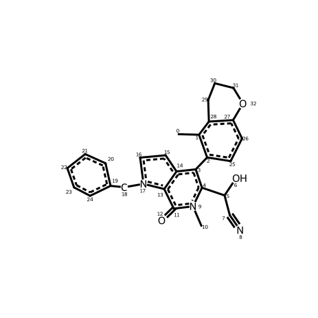 Cc1c(-c2c(C(O)C#N)n(C)c(=O)c3c2ccn3Cc2ccccc2)ccc2c1CCCO2